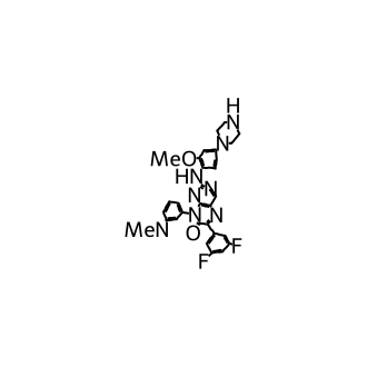 CNc1cccc(-n2c(=O)c(-c3cc(F)cc(F)c3)nc3cnc(Nc4ccc(N5CCNCC5)cc4OC)nc32)c1